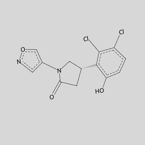 O=C1C[C@@H](c2c(O)ccc(Cl)c2Cl)CN1c1cnoc1